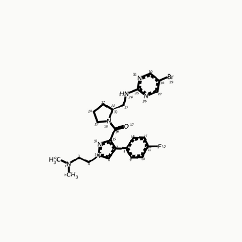 CN(C)CCn1cc(-c2ccc(F)cc2)c(C(=O)N2CCC[C@H]2CNc2ncc(Br)cn2)n1